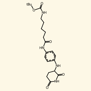 CC(C)(C)OC(=O)NCCCCCC(=O)Nc1ccc(NC2CCC(=O)NC2=O)cc1